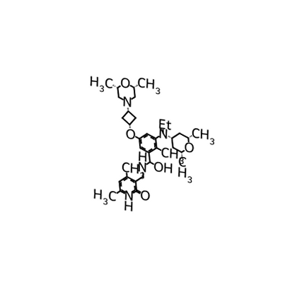 CCN(c1cc(O[C@H]2C[C@@H](N3C[C@@H](C)O[C@@H](C)C3)C2)cc(C(O)NCc2c(C)cc(C)[nH]c2=O)c1C)[C@H]1C[C@@H](C)O[C@@H](C)C1